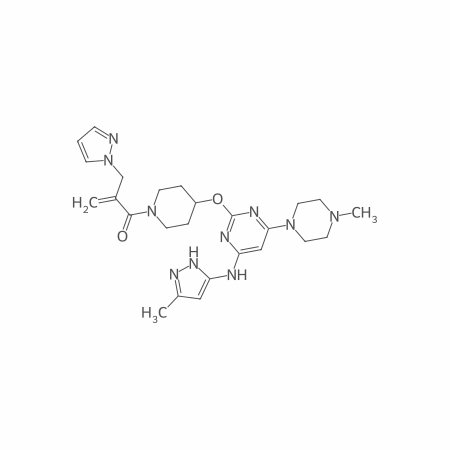 C=C(Cn1cccn1)C(=O)N1CCC(Oc2nc(Nc3cc(C)n[nH]3)cc(N3CCN(C)CC3)n2)CC1